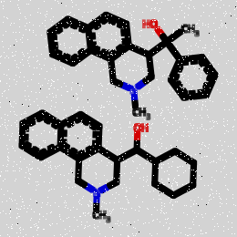 CN1Cc2c(ccc3ccccc23)C(C(C)(O)c2ccccc2)C1.CN1Cc2c(ccc3ccccc23)C(C(O)C2CCCCC2)C1